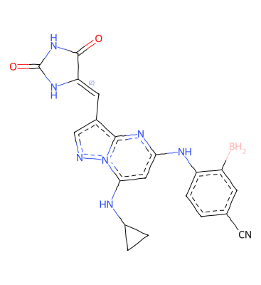 Bc1cc(C#N)ccc1Nc1cc(NC2CC2)n2ncc(/C=C3\NC(=O)NC3=O)c2n1